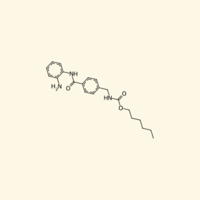 CCCCCCOC(=O)NCc1ccc(C(=O)Nc2ccccc2N)cc1